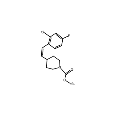 CC(C)(C)OC(=O)N1CCC(/C=C\c2ccc(F)cc2Cl)CC1